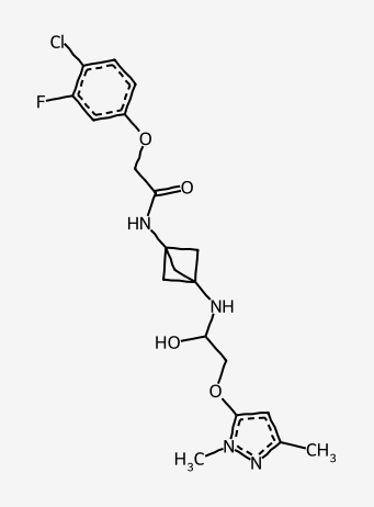 Cc1cc(OCC(O)NC23CC(NC(=O)COc4ccc(Cl)c(F)c4)(C2)C3)n(C)n1